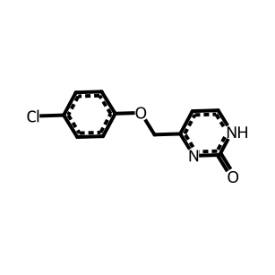 O=c1nc(COc2ccc(Cl)cc2)cc[nH]1